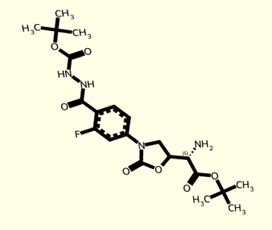 CC(C)(C)OC(=O)NNC(=O)c1ccc(N2CC([C@H](N)C(=O)OC(C)(C)C)OC2=O)cc1F